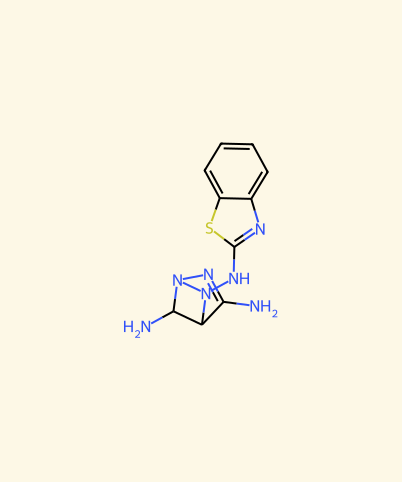 NC1=NN2C(N)C1N2Nc1nc2ccccc2s1